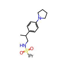 CC(CNS(=O)(=O)C(C)C)c1ccc(N2CCCC2)cc1